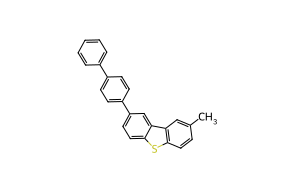 Cc1ccc2sc3ccc(-c4ccc(-c5ccccc5)cc4)cc3c2c1